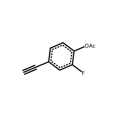 C#Cc1ccc(OC(C)=O)c(F)c1